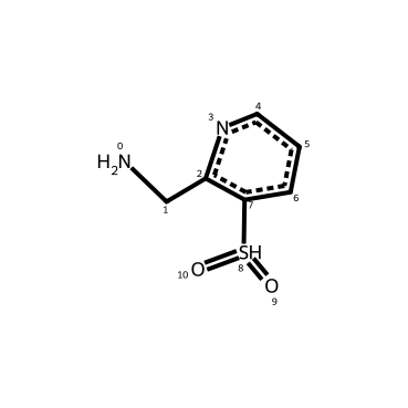 NCc1ncccc1[SH](=O)=O